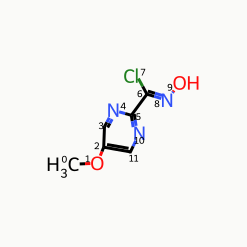 COc1cnc(C(Cl)=NO)nc1